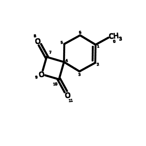 CC1=CCC2(CC1)C(=O)OC2=O